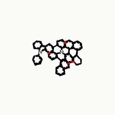 c1ccc(-n2c3ccccc3c3cc(-c4ccccc4N(c4ccccc4-c4cccc5ccccc45)c4ccccc4-c4cccc5cccc(C6CCCCC6)c45)ccc32)cc1